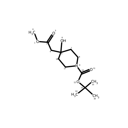 COC(=O)CC1(O)CCN(C(=O)OC(C)(C)C)CC1